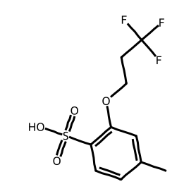 Cc1ccc(S(=O)(=O)O)c(OCCC(F)(F)F)c1